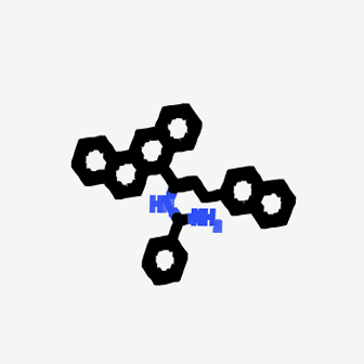 NC(N/C(=C\Cc1ccc2ccccc2c1)c1c2ccccc2cc2c1ccc1ccccc12)c1ccccc1